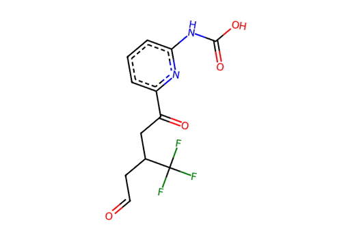 O=CCC(CC(=O)c1cccc(NC(=O)O)n1)C(F)(F)F